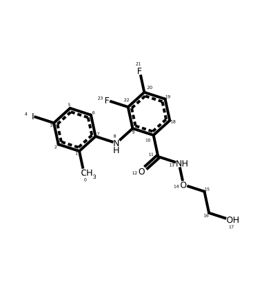 Cc1cc(I)ccc1Nc1c(C(=O)NOCCO)ccc(F)c1F